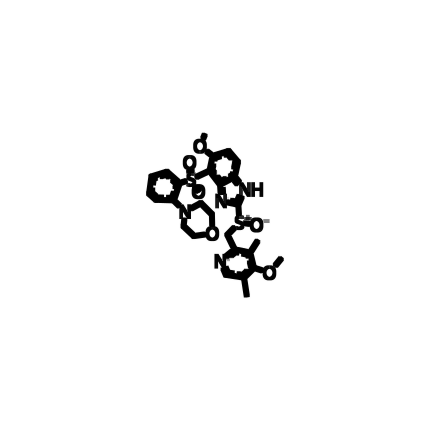 COc1ccc2[nH]c([S+]([O-])Cc3ncc(C)c(OC)c3C)nc2c1S(=O)(=O)c1ccccc1N1CCOCC1